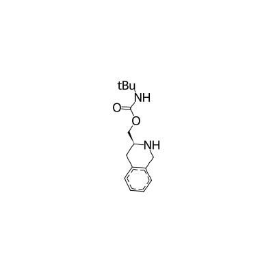 CC(C)(C)NC(=O)OC[C@@H]1Cc2ccccc2CN1